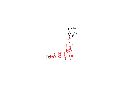 [Ce+3].[Fe+2].[Mg+2].[OH-].[OH-].[OH-].[OH-].[OH-].[OH-].[OH-]